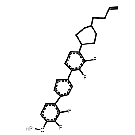 C=CCCC1CCC(c2ccc(-c3ccc(-c4ccc(OCCC)c(F)c4F)cc3)c(F)c2F)CC1